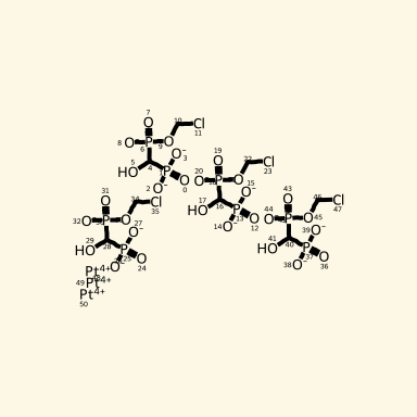 O=P([O-])([O-])C(O)P(=O)([O-])OCCl.O=P([O-])([O-])C(O)P(=O)([O-])OCCl.O=P([O-])([O-])C(O)P(=O)([O-])OCCl.O=P([O-])([O-])C(O)P(=O)([O-])OCCl.[Pt+4].[Pt+4].[Pt+4]